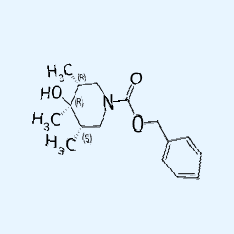 C[C@@H]1CN(C(=O)OCc2ccccc2)C[C@H](C)[C@@]1(C)O